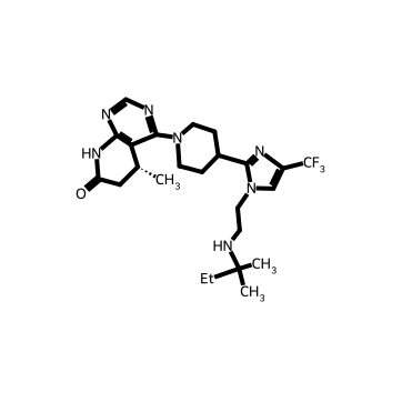 CCC(C)(C)NCCn1cc(C(F)(F)F)nc1C1CCN(c2ncnc3c2[C@H](C)CC(=O)N3)CC1